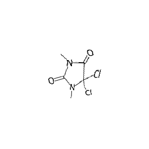 CN1C(=O)N(C)C(Cl)(Cl)C1=O